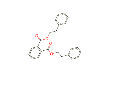 O=C(OCCc1ccccc1)c1ccccc1C(=O)OCCc1ccccc1